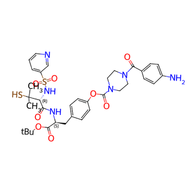 CC(C)(C)OC(=O)[C@H](Cc1ccc(OC(=O)N2CCN(C(=O)c3ccc(N)cc3)CC2)cc1)NC(=O)[C@@H](NS(=O)(=O)c1cccnc1)C(C)(C)S